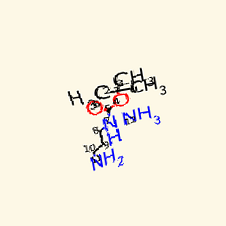 CC(C)(C)OC(=O)NCCCN.N